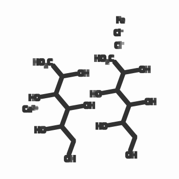 O=C(O)C(O)C(O)C(O)C(O)CO.O=C(O)C(O)C(O)C(O)C(O)CO.[Ca+2].[Cl-].[Cl-].[Fe]